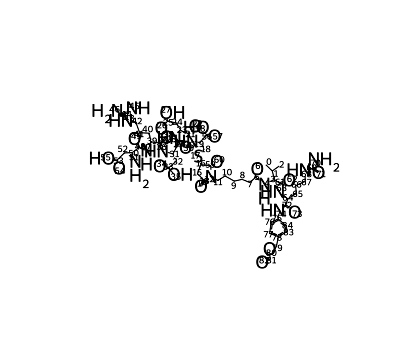 CC(C)C(NC(=O)CCCCCN1C(=O)CC(SC[C@H](NC(=O)[C@H](CC(=O)O)NC(=O)[C@H](CC(=O)O)NC(=O)[C@H](CCCNC(=N)N)NC(=O)[C@@H](N)CC(=O)O)C(=O)O)C1=O)C(=O)N[C@@H](CCCNC(N)=O)C(=O)Nc1ccc(COC=O)cc1